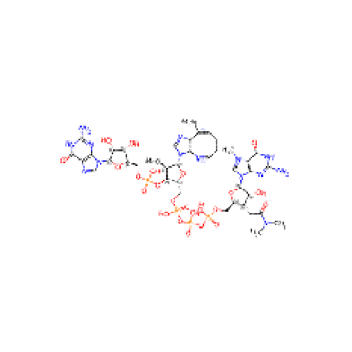 CN/C1=C/CC/C=N\c2c1ncn2[C@@H]1O[C@H](COP(=O)(O)OP(=O)(O)OP(=O)(O)OC[C@H]2O[C@@H](n3c[n+](C)c4c(=O)[nH]c(N)nc43)[C@H](O)[C@@H]2CC(=O)N(C)C)[C@@H](OP(=O)(O)OC[C@H]2O[C@@H](n3cnc4c(=O)[nH]c(N)nc43)[C@H](O)[C@@H]2O)[C@H]1OC